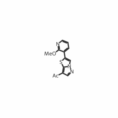 COc1ncccc1-c1cn2ncc(C(C)=O)c2s1